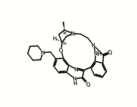 C[C@@H]1C[C@H]2CN1CCn1[nH]c3c(cccc3c1=O)-c1nc3c(c(CN4CCCCC4)ccc3[nH]c1=O)O2